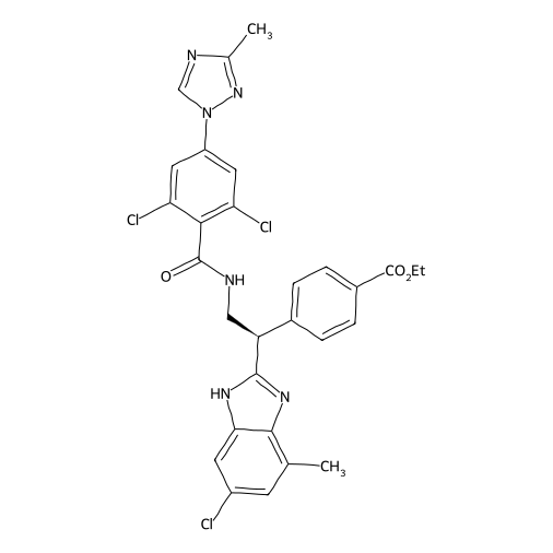 CCOC(=O)c1ccc([C@H](CNC(=O)c2c(Cl)cc(-n3cnc(C)n3)cc2Cl)c2nc3c(C)cc(Cl)cc3[nH]2)cc1